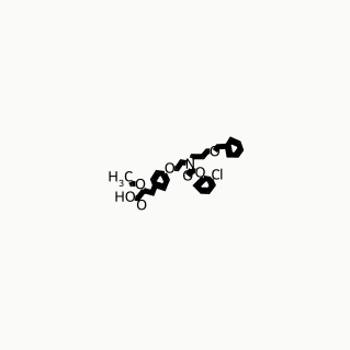 CCOC(Cc1ccc(OCCN(CCCOCc2ccccc2)C(=O)Oc2ccccc2Cl)cc1)C(=O)O